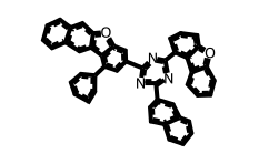 c1ccc(-c2cc(-c3nc(-c4ccc5ccccc5c4)nc(-c4cccc5oc6ccccc6c45)n3)cc3oc4cc5ccccc5cc4c23)cc1